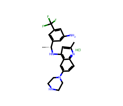 Cc1cc(N[C@H](C)c2cc(N)cc(C(F)(F)F)c2)c2cc(N3CCNCC3)ccc2n1.Cl